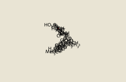 CC(C)=C1OC(=O)N(c2cc(OC3CCCC3)c(Cl)cc2F)C1=O.CC1COc2ccccc2N1C(=O)C(Cl)Cl.CCNc1nc(Cl)nc(NC(C)C)n1.CCc1cccc(C)c1N(C(=O)CCl)C(C)COC.O=C(O)CNCP(=O)(O)O